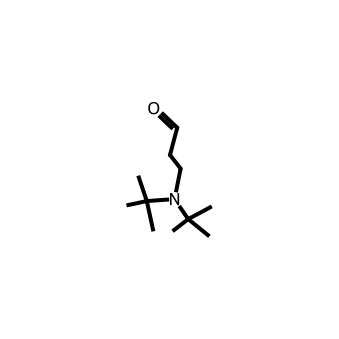 CC(C)(C)N(CCC=O)C(C)(C)C